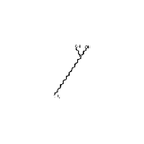 CCCCCCCCCCCCCCCCCCCN(CCCO)CCCO